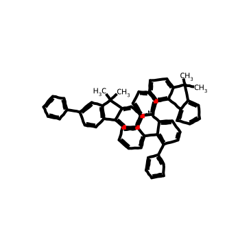 CC1(C)c2cc(-c3ccccc3)ccc2-c2ccc(N(c3cccc(-c4ccccc4)c3-c3ccccc3-c3ccccc3)c3cccc4c3-c3ccccc3C4(C)C)cc21